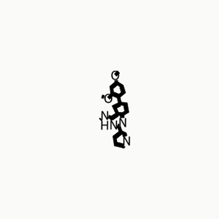 CNc1nc(-c2cccnc2)nc2ccc(-c3ccc(OC)cc3OC)cc12